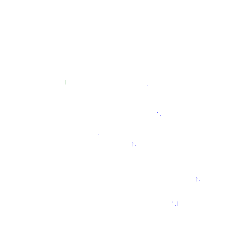 CC1COCCN1c1cc(NC2CC(F)(F)C2)nc(-c2ccnc3[nH]ccc23)n1